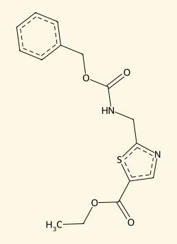 CCOC(=O)c1cnc(CNC(=O)OCc2ccccc2)s1